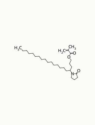 C=C(C)C(=O)OCCCC(CCCCCCCCCCCCCCCC)N1CCCC1=O